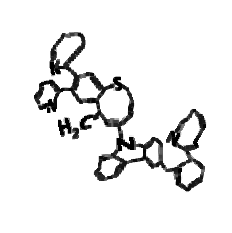 C=C1/C=C(n2c3ccccc3c3cc(-c4ccccc4-c4ccccn4)ccc32)\C=C/CSc2cc(-c3ccccn3)c(-c3ccccn3)cc21